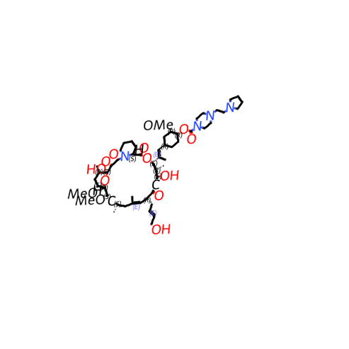 CO[C@H]1C[C@@H](C)C/C(C)=C/[C@@H](C/C=C/CO)C(=O)C[C@H](O)[C@@H](C)[C@@H](/C(C)=C/[C@@H]2CC[C@@H](OC(=O)N3CCN(CCN4CCCC4)CC3)[C@H](OC)C2)OC(=O)[C@@H]2CCCCN2C(=O)C(=O)[C@]2(O)O[C@H]1[C@@H](OC)C[C@H]2C